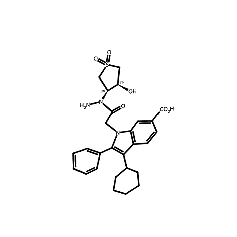 NN(C(=O)Cn1c(-c2ccccc2)c(C2CCCCC2)c2ccc(C(=O)O)cc21)[C@H]1CS(=O)(=O)C[C@H]1O